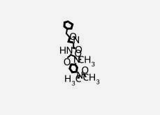 CC(=O)N(C)c1ccc2c(c1)N(C)C(=O)C(NC(=O)c1cc(Cc3ccccc3)on1)CO2